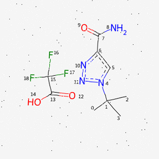 CC(C)(C)n1cc(C(N)=O)nn1.O=C(O)C(F)(F)F